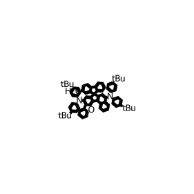 Cc1ccc2c(c1)C1(c3ccccc3-2)c2cc(N(c3ccc(C(C)(C)C)cc3)c3ccc(C(C)(C)C)cc3)c3ccccc3c2-c2c1cc(N(c1ccc(C(C)(C)C)cc1)c1ccc(C(C)(C)C)cc1)c1c2oc2ccccc21